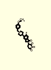 CCOc1ccc(CN2CCC(c3cc4c(cc3F)C(=O)N(C3CCC(=O)NC3=O)C4)CC2)cc1